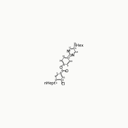 CCCCCCCc1ccc(C(=O)Oc2ccc(-c3ncc(CCCCCC)cn3)cc2)cc1Cl